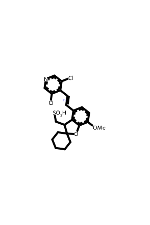 COc1ccc(/C=C/c2c(Cl)cncc2Cl)c2c1OC1(CCCCC1)C2CS(=O)(=O)O